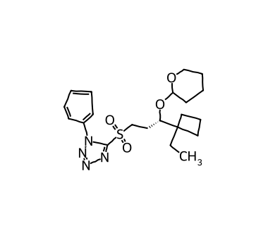 CCC1([C@H](CCS(=O)(=O)c2nnnn2-c2ccccc2)OC2CCCCO2)CCC1